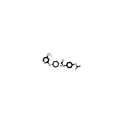 O=C(Nc1ccc(OC(F)F)cc1)[C@H]1CC[C@@H](Oc2cc(C(F)(F)F)ccn2)CC1